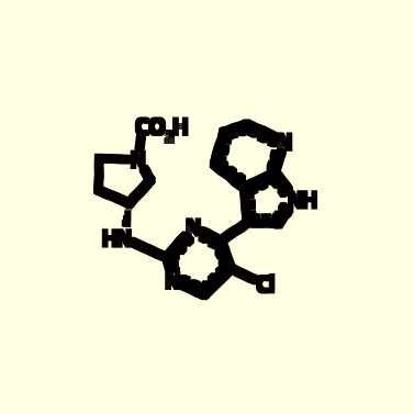 O=C(O)N1CC[C@@H](Nc2ncc(Cl)c(-c3c[nH]c4ncccc34)n2)C1